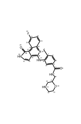 Cc1ccc(C(=O)NCC2CNCCO2)cc1Nc1nc2ccc(F)cc2c2c(=O)[nH]ccc12